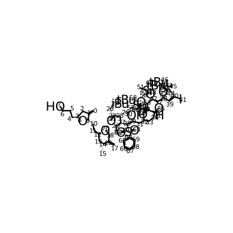 C=C1C[C@H](CCCO)O[C@H]1CCC1C[C@@H](C)C(=C)[C@@H](CC2O[C@H](C[C@H](C)CC)[C@H](C)[C@H]2C(C(O)CC2CC[C@@H]3O[C@@H]([C@H](/C=C/I)O[Si](C)(C)C(C)(C)C)[C@@H](O[Si](C)(C)C(C)(C)C)[C@@H](O[Si](C)(C)C(C)(C)C)[C@H]3O2)S(=O)(=O)c2ccccc2)O1